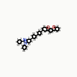 c1ccc(-c2nc3cc(-c4ccc(-c5ccc(-c6ccc7oc8c(ccc9c%10ccccc%10oc98)c7c6)cc5)cc4)ccc3n2-c2ccccc2)cc1